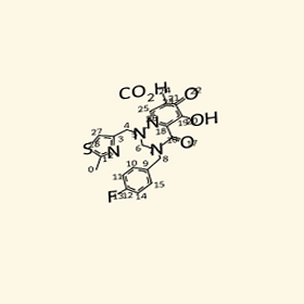 Cc1nc(CN2CN(Cc3ccc(F)cc3)C(=O)c3c(O)c(=O)c(C(=O)O)cn32)cs1